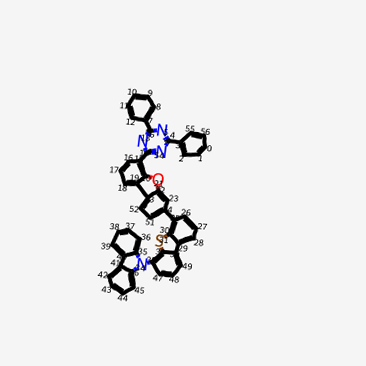 c1ccc(-c2nc(-c3ccccc3)nc(-c3cccc4c3oc3cc(-c5cccc6c5sc5c(-n7c8ccccc8c8ccccc87)cccc56)ccc34)n2)cc1